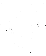 NC(=O)CCCCCCCCCCC1CCS(=O)(=O)CC1